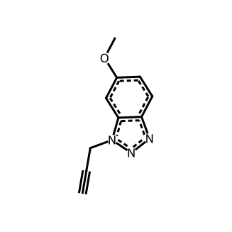 C#CCn1nnc2ccc(OC)cc21